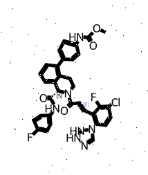 COC(=O)Nc1ccc(-c2cccc3c2CCN(C(=O)/C=C/c2c(N4C=NNN4)ccc(Cl)c2F)[C@@H]3C(=O)Nc2ccc(F)cc2)cc1